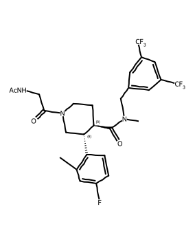 CC(=O)NCC(=O)N1CC[C@@H](C(=O)N(C)Cc2cc(C(F)(F)F)cc(C(F)(F)F)c2)[C@H](c2ccc(F)cc2C)C1